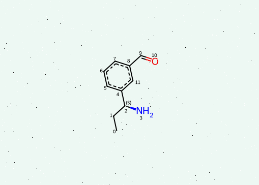 CC[C@H](N)c1cccc(C=O)c1